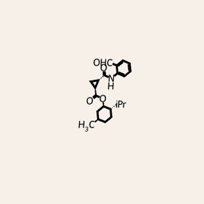 CC(C)[C@@H]1CC[C@@H](C)C[C@H]1OC(=O)[C@H]1C[C@@H]1C(=O)Nc1ccccc1C=O